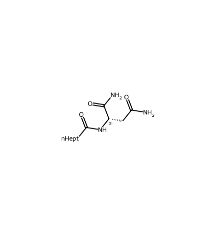 CCCCCCCC(=O)N[C@@H](CC(N)=O)C(N)=O